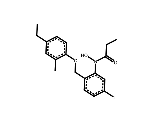 CCC(=O)N(O)c1cc(I)ccc1COc1ccc(CC)cc1C